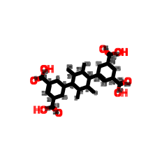 CC1C(C)C(C2CC(C(=O)O)=CC(C(=O)O)C2)C(C)C(C)C1C1=CC(C(=O)O)CC(C(=O)O)C1